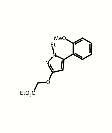 CCOC(=O)COc1cc(-c2ccccc2OC)n(CC)n1